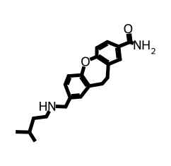 CC(C)CCNCc1ccc2c(c1)CCc1cc(C(N)=O)ccc1O2